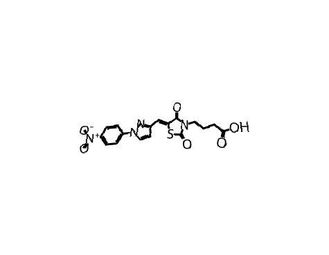 O=C(O)CCCN1C(=O)S/C(=C\c2ccn(-c3ccc([N+](=O)[O-])cc3)n2)C1=O